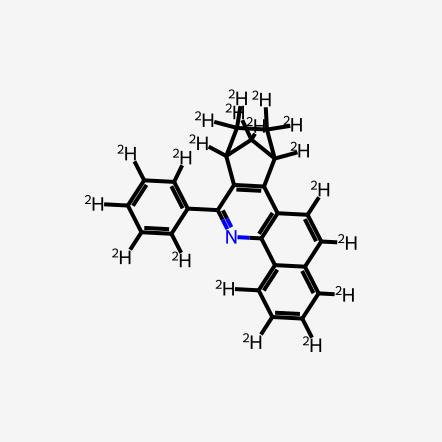 [2H]c1c([2H])c([2H])c(-c2nc3c(c([2H])c([2H])c4c([2H])c([2H])c([2H])c([2H])c43)c3c2C2([2H])C([2H])([2H])C([2H])([2H])C3([2H])C2([2H])[2H])c([2H])c1[2H]